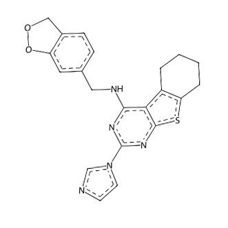 c1cn(-c2nc(NCc3ccc4c(c3)OOC4)c3c4c(sc3n2)CCCC4)cn1